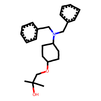 CC(C)(O)COC1CCC(N(Cc2ccccc2)Cc2ccccc2)CC1